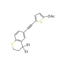 CCC1(CC)CCSc2ccc(C#Cc3ccc(OC(C)=O)s3)cc21